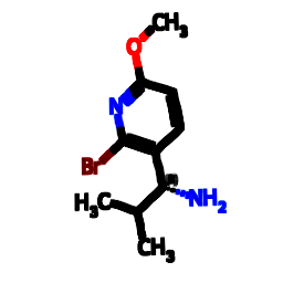 COc1ccc([C@H](N)C(C)C)c(Br)n1